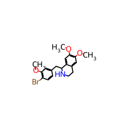 COc1cc(CC2NCCc3cc(OC)c(OC)cc32)ccc1Br